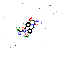 NC(c1nnc(-c2cc3c(cc2F)S(=O)(=O)C[C@H](N)C(=O)N3Cc2ccc(OC(F)(F)F)cc2)o1)C(F)(F)F